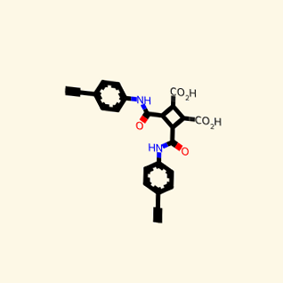 C#Cc1ccc(NC(=O)C2C(C(=O)O)C(C(=O)O)C2C(=O)Nc2ccc(C#C)cc2)cc1